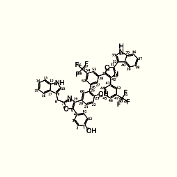 Oc1ccc(-c2oc(Cc3c[nH]c4ccccc34)nc2-c2ccc(O)c(-c3cc(-c4oc(-c5c[nH]c6ccccc56)nc4-c4cccc(C(F)(F)F)c4)cc(C(F)(F)F)c3)c2)cc1